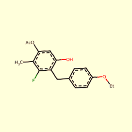 CCOc1ccc(Cc2c(O)cc(OC(C)=O)c(C)c2F)cc1